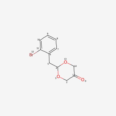 O=C1COC(Cc2ccccc2Br)OC1